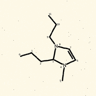 CCCC1N(C)C=CN1CCC